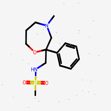 CN1CCCOC(CNS(C)(=O)=O)(c2ccccc2)C1